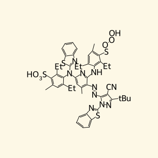 CCc1cc(C)c(SOOO)c(CC)c1Nc1nc(N(c2nc3ccccc3s2)c2c(CC)cc(C)c(S(=O)(=O)O)c2CC)cc(C)c1N=Nc1c(C#N)c(C(C)(C)C)nn1-c1nc2ccccc2s1